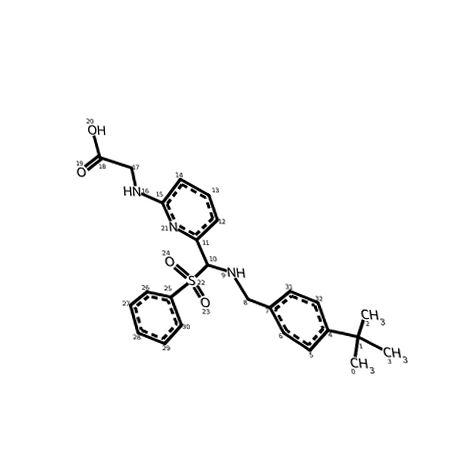 CC(C)(C)c1ccc(CNC(c2cccc(NCC(=O)O)n2)S(=O)(=O)c2ccccc2)cc1